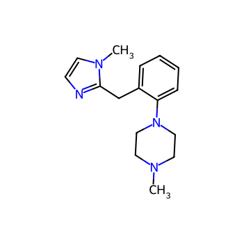 CN1CCN(c2ccccc2Cc2nccn2C)CC1